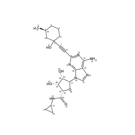 C[C@H]1CCCC(O)(C#Cc2nc(N)c3ncn(C4O[C@H](C(=O)NC5CC5)[C@H](O)[C@@H]4O)c3n2)C1